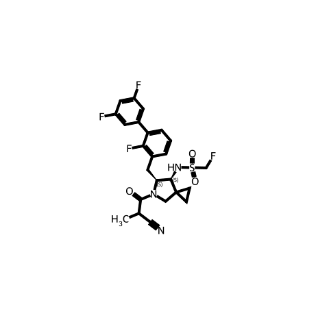 CC(C#N)C(=O)N1CC2(CC2)[C@H](NS(=O)(=O)CF)[C@@H]1Cc1cccc(-c2cc(F)cc(F)c2)c1F